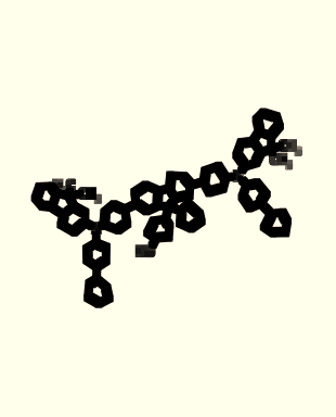 CC1(C)c2ccccc2-c2ccc(N(c3ccc(-c4ccccc4)cc3)c3ccc(-c4ccc5c(c4)C(c4ccccc4)(c4ccc(O)cc4)c4cc(-c6ccc(N(c7ccc(-c8ccccc8)cc7)c7ccc8c(c7)C(C)(C)c7ccccc7-8)cc6)ccc4-5)cc3)cc21